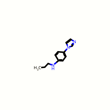 CCCNc1ccc(-n2ccnc2)cc1